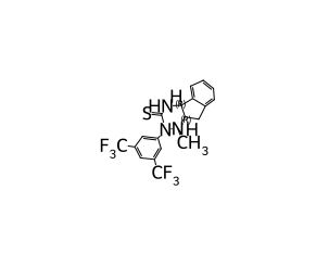 CN1[C@@H]2Cc3ccccc3[C@H]2NC(=S)N1c1cc(C(F)(F)F)cc(C(F)(F)F)c1